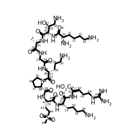 C[C@H](NC(=O)[C@@H](NC(=O)[C@@H](N)CCCCN)[C@@H](O)CN)C(=O)NCC(=O)N[C@H](CCCN)C(=O)N1CCC[C@H]1C(=O)N[C@@H](CCS(C)(=O)=O)C(=O)N[C@@H](CCCCN)C(=O)N/C(=C\CCNC(=N)N)C(=O)O